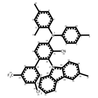 Cc1ccc(N(c2ccc(C)cc2C)c2ccc(-c3cc(C(F)(F)F)cc(C(F)(F)F)c3)c(-n3c4ccccc4c4cc(C)ccc43)c2C#N)cc1